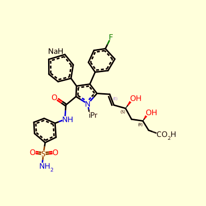 CC(C)n1c(/C=C/[C@@H](O)C[C@@H](O)CC(=O)O)c(-c2ccc(F)cc2)c(-c2ccccc2)c1C(=O)Nc1cccc(S(N)(=O)=O)c1.[NaH]